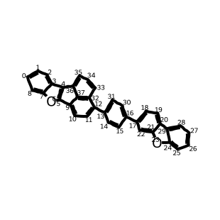 c1ccc2c3c(oc2c1)-c1ccc(-c2ccc(-c4ccc5c(c4)oc4ccccc45)cc2)c2cccc-3c12